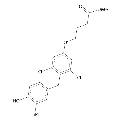 COC(=O)CCCOc1cc(Cl)c(Cc2ccc(O)c(C(C)C)c2)c(Cl)c1